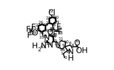 CCC1NC(C(=O)O)CC12CCN(c1cc(O[C@H](c3ccc(Cl)cc3-c3ccc(OC(F)(F)F)c(C)c3)C(F)(F)F)nc(N)n1)CC2